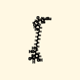 CC(C)(C)c1nc(C(=O)N2CCOC3(CCN(CCCCCCCCCNC[C@H](O)c4ccc(O)c5[nH]c(=O)sc45)CC3)C2)cs1